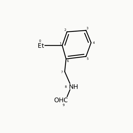 CCc1ccccc1CNC=O